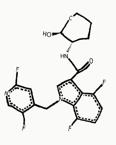 O=C(N[C@H]1CCCC[C@@H]1O)c1cn(Cc2cc(F)ncc2F)c2c(F)ccc(F)c12